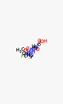 CCOC(=O)C1=C(CN2CCN3C(=O)N(C45CCC(C(=O)O)(CC4)C5)C[C@@H]3C2)NC(c2nccs2)=N[C@H]1c1cccc(F)c1C